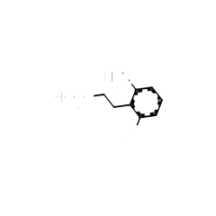 Nc1cccc(C(F)(F)F)c1CCC(=O)O